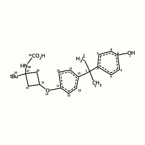 CC(C)(c1ccc(O)cc1)c1ccc(OC2CC(NC(=O)O)(C(C)(C)C)C2)cc1